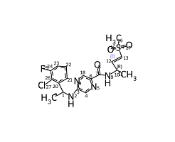 CC(Nc1cnc(C(=O)N[C@H](C)/C=C/S(C)(=O)=O)cn1)c1cccc(F)c1Cl